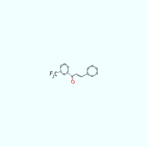 O=C(C=Cc1ccccc1)c1cccc(C(F)(F)F)c1